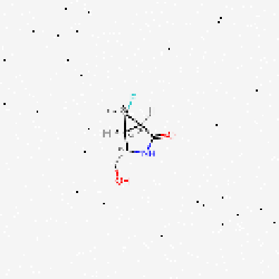 C[C@@]1(F)[C@@H]2[C@@H](CO)NC(=O)[C@@H]21